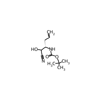 C=CC[C@H](NC(=O)OC(C)(C)C)C(O)C#N